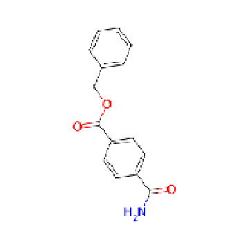 NC(=O)c1ccc(C(=O)OCc2ccccc2)cc1